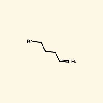 [CH]=CCC[CH]Br